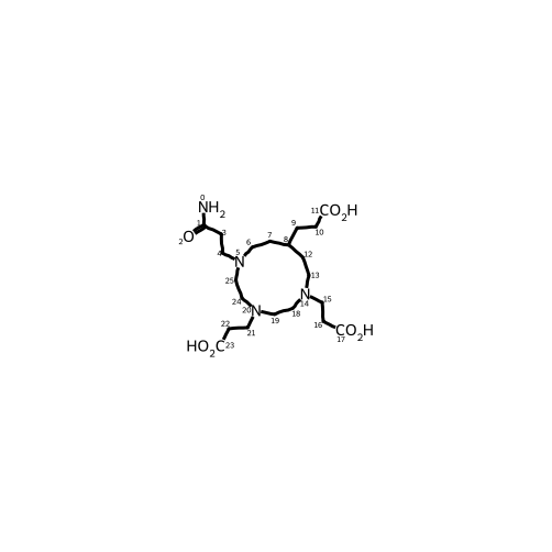 NC(=O)CCN1CCC(CCC(=O)O)CCN(CCC(=O)O)CCN(CCC(=O)O)CC1